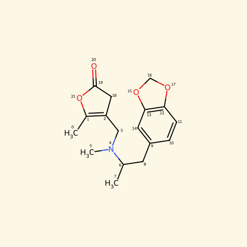 CC1=C(CN(C)C(C)Cc2ccc3c(c2)OCO3)CC(=O)O1